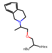 CCCCCCC(CCCC)COC[C](C)N1CCc2ccccc2C1